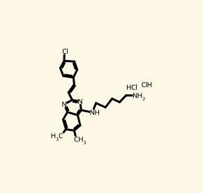 Cc1cc2nc(/C=C/c3ccc(Cl)cc3)nc(NCCCCCN)c2cc1C.Cl.Cl